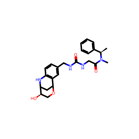 C[C@H](c1ccccc1)N(C)C(=O)CNC(=O)NCc1ccc2c(c1)C1CC(N2)[C@H](O)CO1